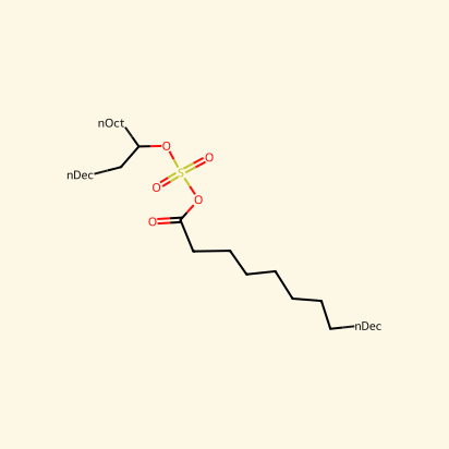 CCCCCCCCCCCCCCCCCC(=O)OS(=O)(=O)OC(CCCCCCCC)CCCCCCCCCCC